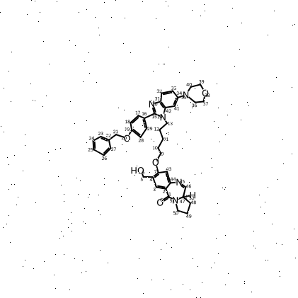 O=C1c2cc(CO)c(OCCCCCn3c(-c4ccc(OCc5ccccc5)cc4)nc4ccc(N5CCOCC5)cc43)cc2N=C[C@@H]2CCCN12